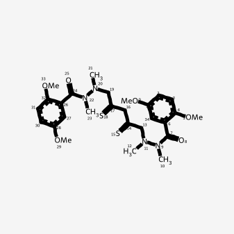 COc1ccc(OC)c(C(=O)N(C)N(C)CC(=S)CC(=S)CN(C)N(C)C(=O)c2cc(OC)ccc2OC)c1